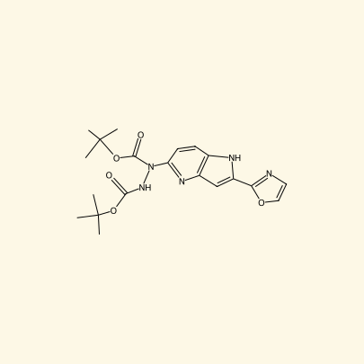 CC(C)(C)OC(=O)NN(C(=O)OC(C)(C)C)c1ccc2[nH]c(-c3ncco3)cc2n1